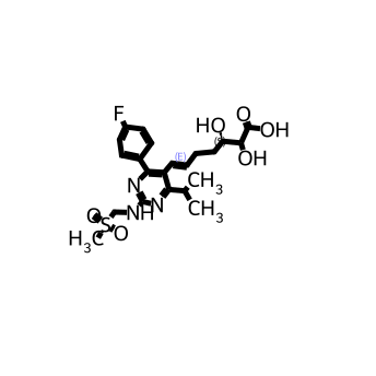 CC(C)c1nc(NCS(C)(=O)=O)nc(-c2ccc(F)cc2)c1/C=C/CC[C@H](O)C(O)C(=O)O